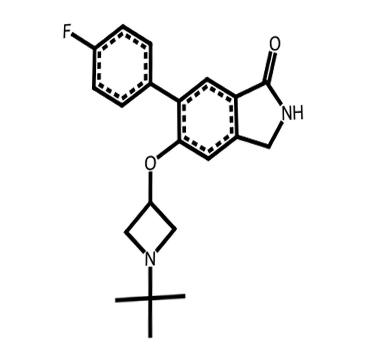 CC(C)(C)N1CC(Oc2cc3c(cc2-c2ccc(F)cc2)C(=O)NC3)C1